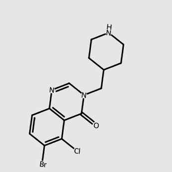 O=c1c2c(Cl)c(Br)ccc2ncn1CC1CCNCC1